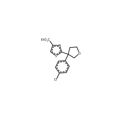 CCOC(=O)c1csc(C2(c3ccc(Cl)cc3)CCOC2)n1